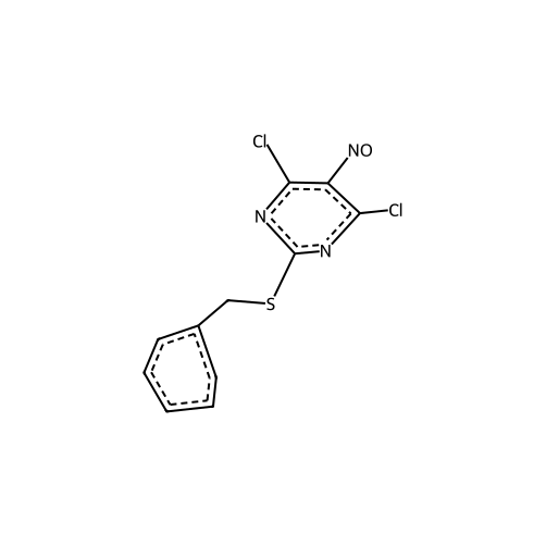 O=Nc1c(Cl)nc(SCc2ccccc2)nc1Cl